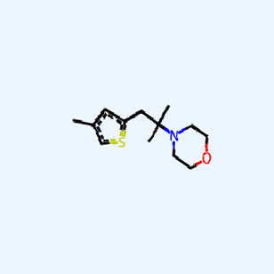 Cc1csc(CC(C)(C)N2CCOCC2)c1